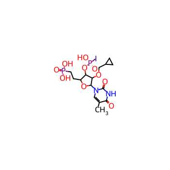 Cc1cn(C2OC(CCP(=O)(O)O)C(OP(=O)(O)I)C2OCC2CC2)c(=O)[nH]c1=O